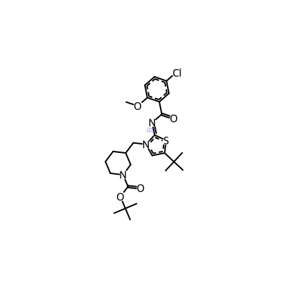 COc1ccc(Cl)cc1C(=O)/N=c1\sc(C(C)(C)C)cn1CC1CCCN(C(=O)OC(C)(C)C)C1